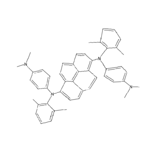 Cc1cccc(C)c1N(c1ccc(N(C)C)cc1)c1ccc2ccc3c(N(c4ccc(N(C)C)cc4)c4c(C)cccc4C)ccc4ccc1c2c43